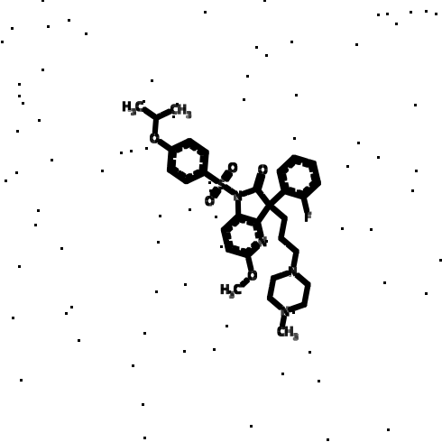 COc1ccc2c(n1)C(CCCN1CCN(C)CC1)(c1ccccc1F)C(=O)N2S(=O)(=O)c1ccc(OC(C)C)cc1